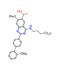 COc1ccccc1-c1ccc(-c2nc(NCCCC(=O)O)c3cc(C(C)O)c(OC)cc3n2)cc1